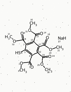 COC(=O)c1c(S)c(C(=O)OC)c(C(=O)OC)c(C(=O)OC)c1C(=O)OC.[NaH]